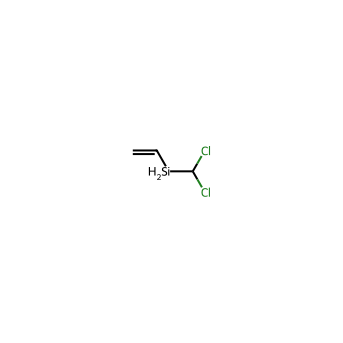 C=C[SiH2]C(Cl)Cl